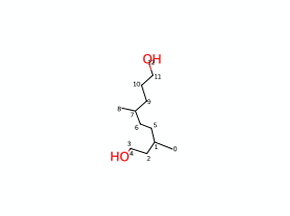 CC(CCO)CCC(C)CCCO